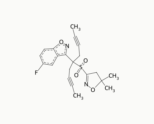 CC#CCC(CC#CC)(c1noc2ccc(F)cc12)S(=O)(=O)C1=NOC(C)(C)C1